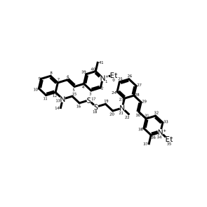 CC[n+]1ccc(/C=C/c2ccccc2N(C)CCSSCCN(C)c2ccccc2/C=C/c2cc[n+](CC)c(C)c2)cc1C